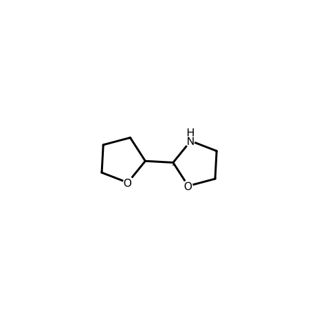 C1COC([C]2NCCO2)C1